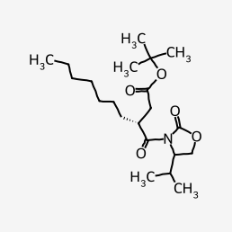 CCCCCCC[C@H](CC(=O)OC(C)(C)C)C(=O)N1C(=O)OCC1C(C)C